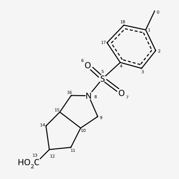 Cc1ccc(S(=O)(=O)N2CC3CC(C(=O)O)CC3C2)cc1